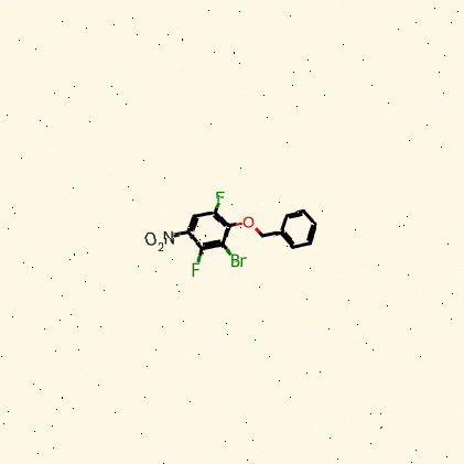 O=[N+]([O-])c1cc(F)c(OCc2ccccc2)c(Br)c1F